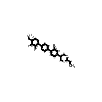 BCc1ccc(-c2ccc(-c3ccc(C4COC(C=C)OC4)cc3F)cc2)c(F)c1F